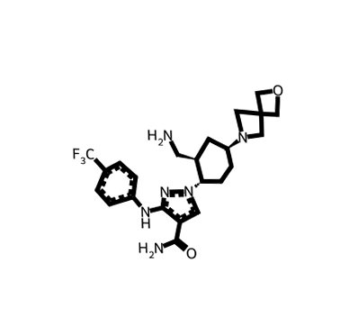 NC[C@H]1C[C@@H](N2CC3(COC3)C2)CC[C@@H]1n1cc(C(N)=O)c(Nc2ccc(C(F)(F)F)cc2)n1